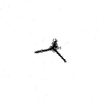 CCCCCCCCCCCCCCCC(=O)OC(OC(=O)CCCCCCCCCCCCCCC)C(C)C(C)(CC(=O)O)CC(=O)OCCCl